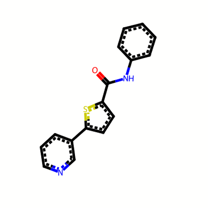 O=C(Nc1ccccc1)c1ccc(-c2cccnc2)s1